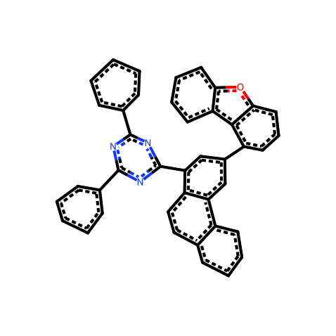 c1ccc(-c2nc(-c3ccccc3)nc(-c3cc(-c4cccc5oc6ccccc6c45)cc4c3ccc3ccccc34)n2)cc1